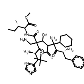 CC[C@H](C)[C@H](NC(=O)C(CN)(C(=O)[C@H](N)Cc1cnc[nH]1)C(O)C(C(=O)OC(C)(C)C)C(N)(C(=O)[C@H](N)Cc1ccccc1)C1CCCCC1)C(=O)OC